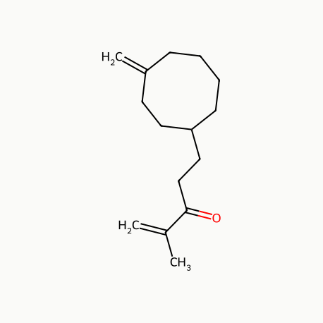 C=C1CCCCC(CCC(=O)C(=C)C)CC1